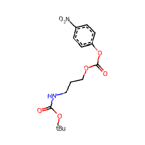 CC(C)(C)OC(=O)NCCCOC(=O)Oc1ccc([N+](=O)[O-])cc1